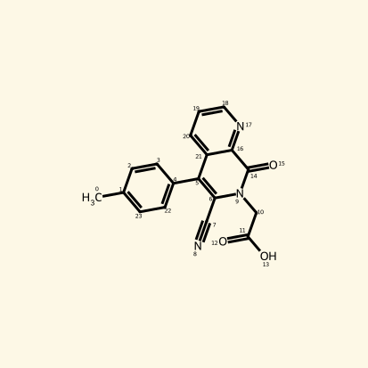 Cc1ccc(-c2c(C#N)n(CC(=O)O)c(=O)c3ncccc23)cc1